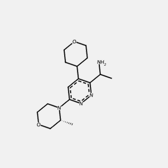 CC(N)c1nnc(N2CCOC[C@H]2C)cc1C1CCOCC1